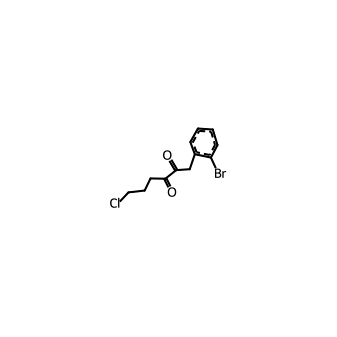 O=C(CCCCl)C(=O)Cc1ccccc1Br